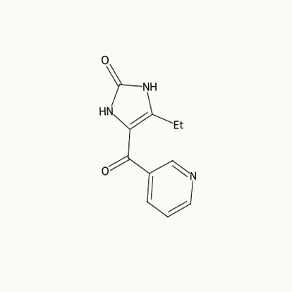 CCc1[nH]c(=O)[nH]c1C(=O)c1cccnc1